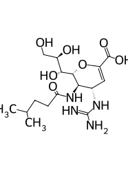 CC(C)CCC(=O)N[C@H]1[C@H]([C@H](O)[C@H](O)CO)OC(C(=O)O)=C[C@@H]1NC(=N)N